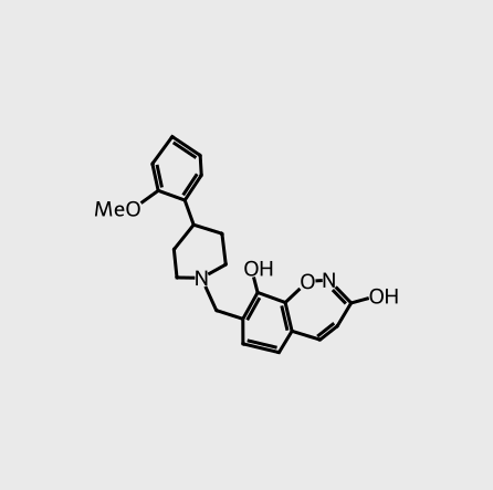 COc1ccccc1C1CCN(Cc2ccc3c(c2O)ON=C(O)C=C3)CC1